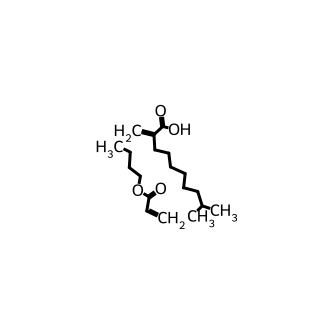 C=C(CCCCCCC(C)C)C(=O)O.C=CC(=O)OCCCC